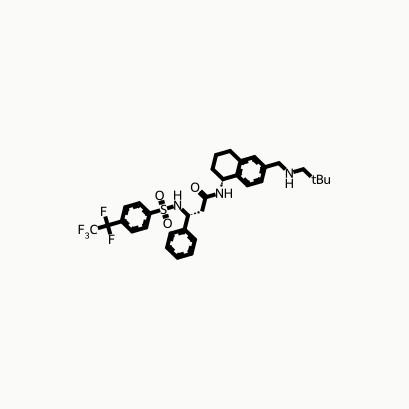 CC(C)(C)CNCc1ccc2c(c1)CCC[C@H]2NC(=O)C[C@@H](NS(=O)(=O)c1ccc(C(F)(F)C(F)(F)F)cc1)c1ccccc1